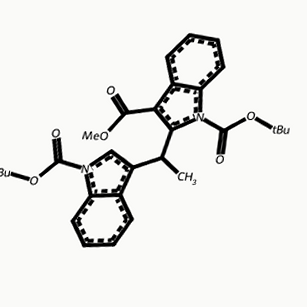 COC(=O)c1c(C(C)c2cn(C(=O)OC(C)(C)C)c3ccccc23)n(C(=O)OC(C)(C)C)c2ccccc12